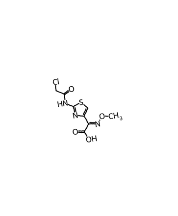 CO/N=C(/C(=O)O)c1csc(NC(=O)CCl)n1